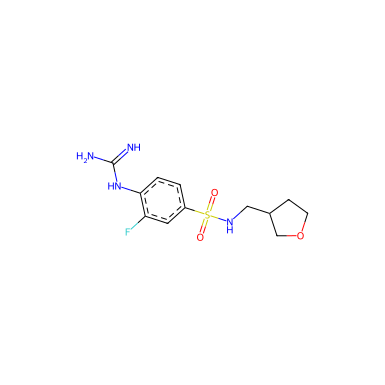 N=C(N)Nc1ccc(S(=O)(=O)NCC2CCOC2)cc1F